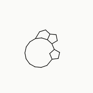 C1CCCCC2CCC3CCC(C4CCC(CCC1)C4)C3C2